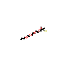 CCCCOCCOCCOCCOCC(=O)C(C)S